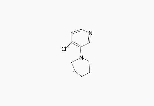 Clc1ccncc1N1C[CH]CCC1